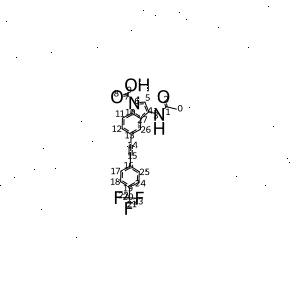 CC(=O)Nc1cn(C(=O)O)c2ccc(C#Cc3ccc(C(F)(F)F)cc3)cc12